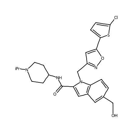 CC(C)N1CCC(NC(=O)c2cc3cc(CO)ccc3n2Cc2cc(-c3ccc(Cl)s3)on2)CC1